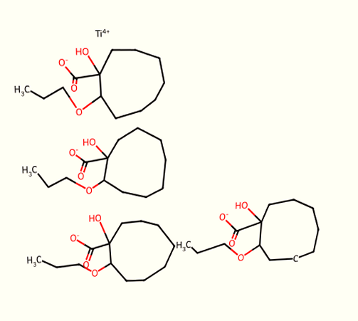 CCCOC1CCCCCCCC1(O)C(=O)[O-].CCCOC1CCCCCCCC1(O)C(=O)[O-].CCCOC1CCCCCCCC1(O)C(=O)[O-].CCCOC1CCCCCCCC1(O)C(=O)[O-].[Ti+4]